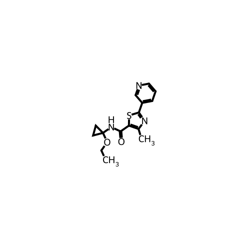 CCOC1(NC(=O)c2sc(-c3cccnc3)nc2C)CC1